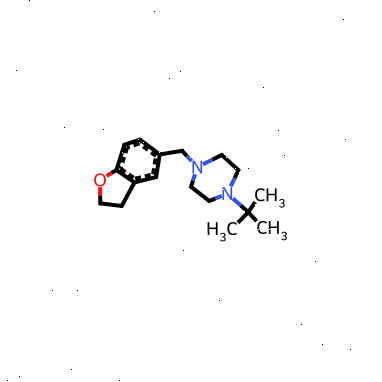 CC(C)(C)N1CCN(Cc2ccc3c(c2)CCO3)CC1